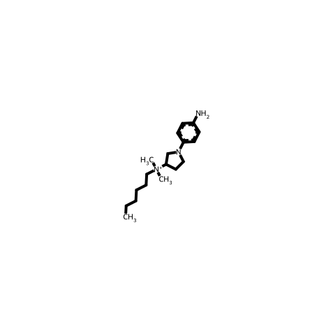 CCCCCC[N+](C)(C)C1CCN(c2ccc(N)cc2)C1